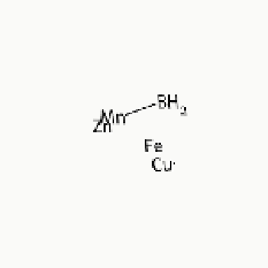 [BH2][Mn].[Cu].[Fe].[Zn]